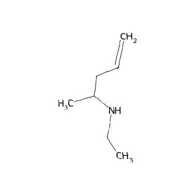 C=CCC(C)NCC